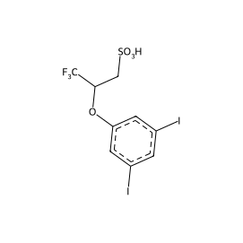 O=S(=O)(O)CC(Oc1cc(I)cc(I)c1)C(F)(F)F